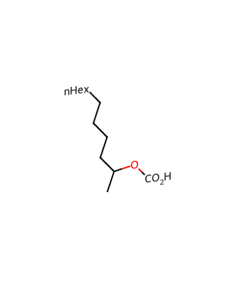 CCCCCCCCCCC(C)OC(=O)O